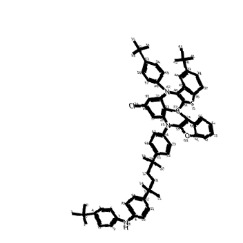 CC(C)(C)c1ccc(Nc2ccc(C(C)(C)CCC(C)(C)c3ccc(N4c5cc(Cl)cc6c5B(c5sc7ccc(C(C)(C)C)cc7c5N6c5ccc(C(C)(C)C)cc5)c5c4oc4ccccc54)cc3)cc2)cc1